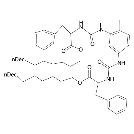 CCCCCCCCCCCCCCCCOC(=O)C(Cc1ccccc1)NC(=O)Nc1ccc(C)c(NC(=O)NC(Cc2ccccc2)C(=O)OCCCCCCCCCCCCCCCC)c1